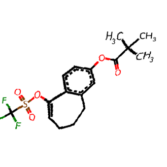 CC(C)(C)C(=O)Oc1ccc2c(c1)CCCC=C2OS(=O)(=O)C(F)(F)F